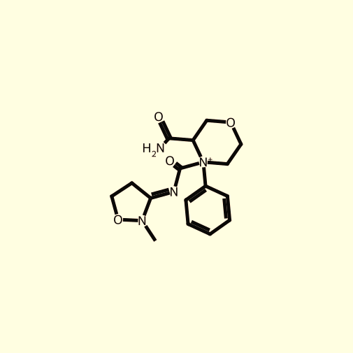 CN1OCCC1=NC(=O)[N+]1(c2ccccc2)CCOCC1C(N)=O